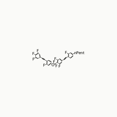 CCCCCc1ccc(C#Cc2cc(F)c(C(F)(F)Oc3ccc(C#Cc4cc(F)c(F)c(F)c4)c(F)c3)c(F)c2)c(F)c1